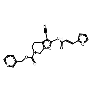 N#Cc1c(NC(=O)C=Cc2ccco2)sc2c1CCN(C(=O)OCc1cccnc1)C2